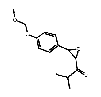 COCOc1ccc(C2OC2C(=O)C(C)C)cc1